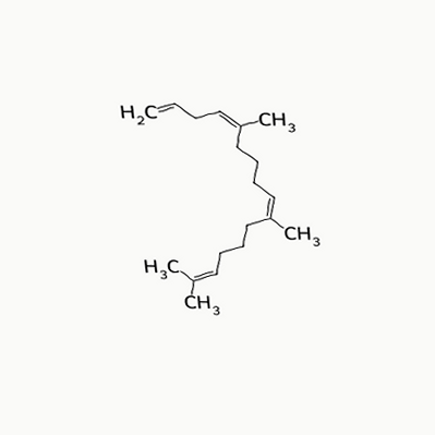 C=CCC=C(C)CCCC=C(C)CCCC=C(C)C